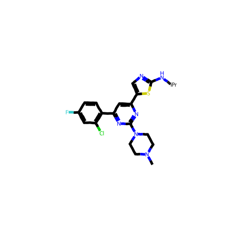 CC(C)Nc1ncc(-c2cc(-c3ccc(F)cc3Cl)nc(N3CCN(C)CC3)n2)s1